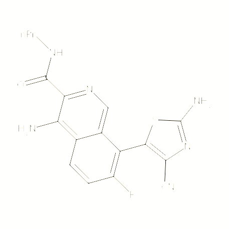 CCCNC(=O)c1ncc2c(-c3sc(N)nc3C#N)c(F)ccc2c1N